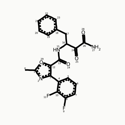 Cc1nc(-c2cccc(F)c2F)c(C(=O)NC(Cc2ccccc2)C(=O)C(N)=O)o1